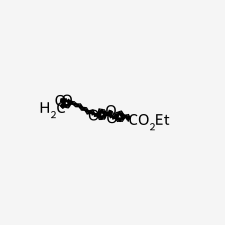 C=C1CC(CCCCCCCOc2ccc(C(=O)Oc3ccc(/C=C/C(=O)OCC)cc3)cc2)OC1=O